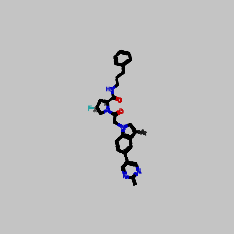 CC(=O)c1cn(CC(=O)N2C[C@H](F)C[C@H]2C(=O)NCCCc2ccccc2)c2ccc(-c3cnc(C)nc3)cc12